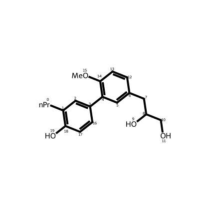 CCCc1cc(-c2cc(CC(O)CO)ccc2OC)ccc1O